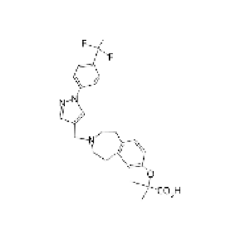 CC(C)(Oc1ccc2c(c1)CCN(Cc1cnn(-c3ccc(C(C)(F)F)cc3)c1)CC2)C(=O)O